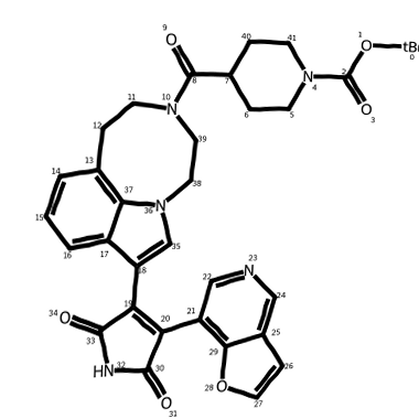 CC(C)(C)OC(=O)N1CCC(C(=O)N2CCc3cccc4c(C5=C(c6cncc7ccoc67)C(=O)NC5=O)cn(c34)CC2)CC1